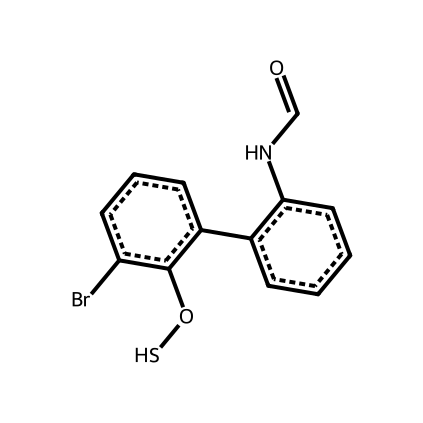 O=CNc1ccccc1-c1cccc(Br)c1OS